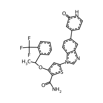 CC(Oc1cc(-n2cnc3cc(-c4cc[nH]c(=O)c4)ccc32)sc1C(N)=O)c1ccccc1C(F)(F)F